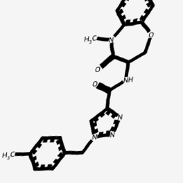 Cc1ccc(Cn2cc(C(=O)NC3COc4ccccc4N(C)C3=O)nn2)cc1